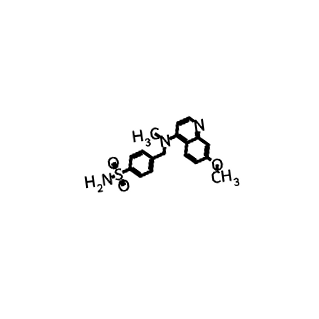 COc1ccc2c(N(C)Cc3ccc(S(N)(=O)=O)cc3)ccnc2c1